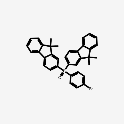 CC1(C)c2ccccc2-c2ccc(P(=O)(c3ccc(Br)cc3)c3ccc4c(c3)C(C)(C)c3ccccc3-4)cc21